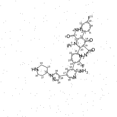 CC(C)n1c(C(N)=O)c(-c2ccc(F)cc2)c(=O)c(C(N)=O)c1-c1ccc(-c2cc(-c3cnn(C4CCNCC4)c3)cnc2N)c(F)c1